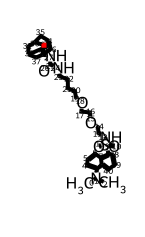 CN(C)c1cccc2c(S(=O)(=O)NCCOCCOCCCCCNC(=O)NC34CC5CC(CC(C5)C3)C4)cccc12